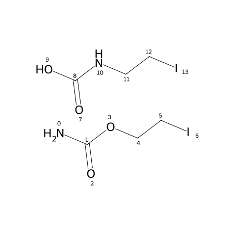 NC(=O)OCCI.O=C(O)NCCI